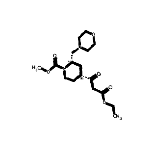 CCOC(=O)CC(=O)[C@@H]1CCN(C(=O)OC)[C@H](CN2CCOCC2)C1